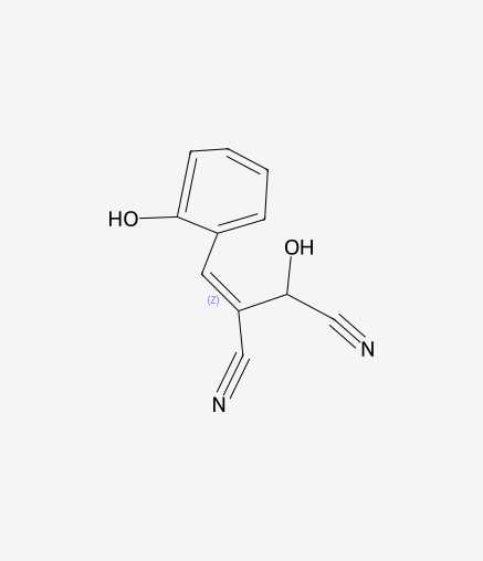 N#C/C(=C/c1ccccc1O)C(O)C#N